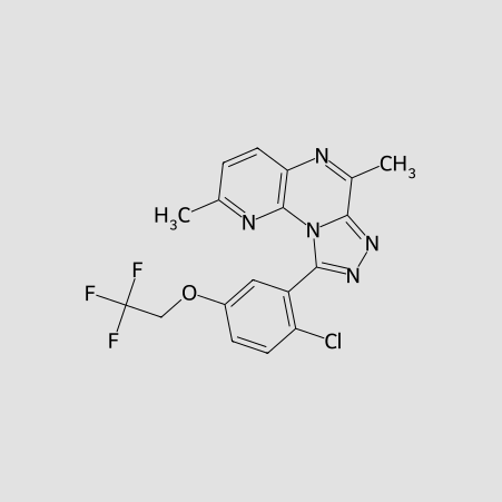 Cc1ccc2nc(C)c3nnc(-c4cc(OCC(F)(F)F)ccc4Cl)n3c2n1